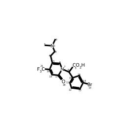 CN(C)CCc1cn(C(C(=O)O)c2cccc(Br)c2)c(=O)cc1C(F)(F)F